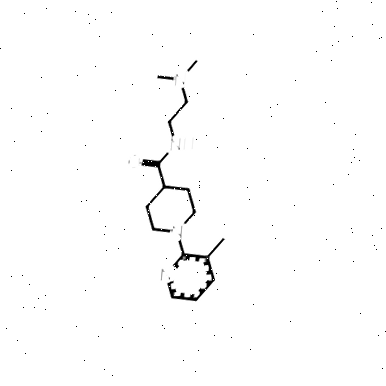 Cc1cccnc1N1CCC(C(=O)NCCN(C)C)CC1